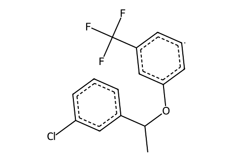 CC(Oc1c[c]cc(C(F)(F)F)c1)c1cccc(Cl)c1